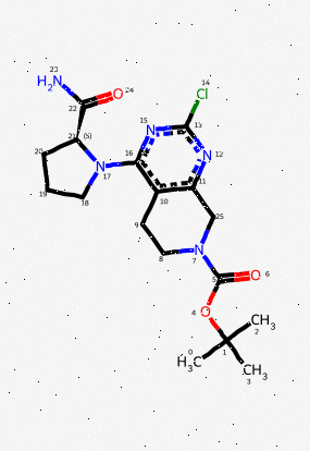 CC(C)(C)OC(=O)N1CCc2c(nc(Cl)nc2N2CCC[C@H]2C(N)=O)C1